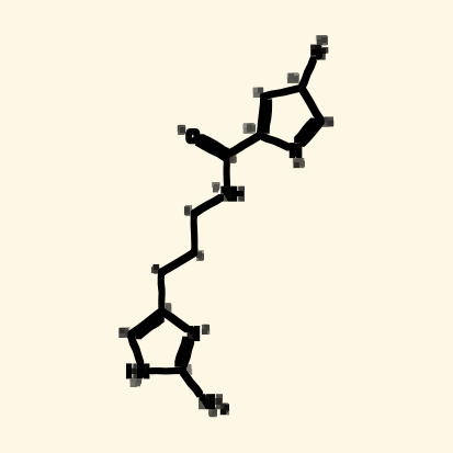 Nc1nc(CCCNC(=O)C2=CC(Br)C=N2)c[nH]1